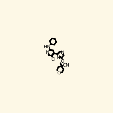 N#CC1(COc2cncc(-c3cc(NC4CCCCC4)ncc3Cl)n2)CCOCC1